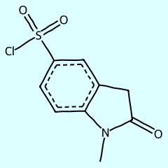 CN1C(=O)Cc2cc(S(=O)(=O)Cl)ccc21